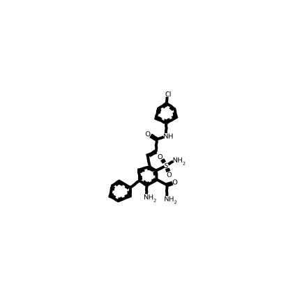 NC(=O)c1c(N)c(-c2ccccc2)cc(/C=C/C(=O)Nc2ccc(Cl)cc2)c1S(N)(=O)=O